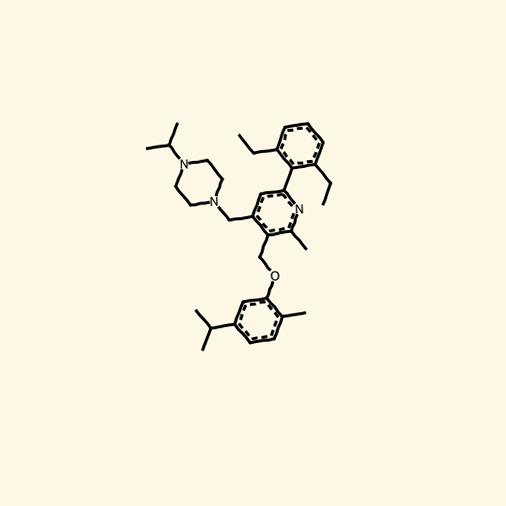 CCc1cccc(CC)c1-c1cc(CN2CCN(C(C)C)CC2)c(COc2cc(C(C)C)ccc2C)c(C)n1